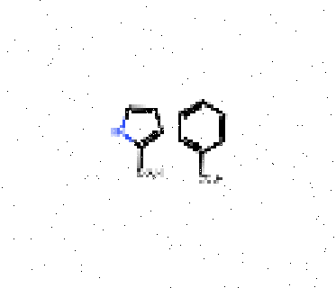 O=C(O)c1ccc[nH]1.O=C(O)c1ccccc1